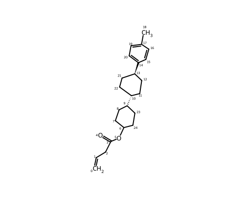 C=CCC(=O)OC1CCC([C@H]2CC[C@H](c3ccc(C)cc3)CC2)CC1